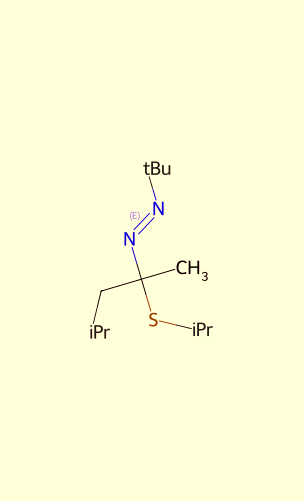 CC(C)CC(C)(/N=N/C(C)(C)C)SC(C)C